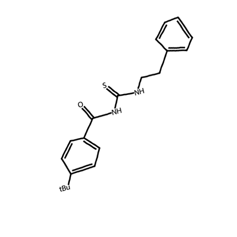 CC(C)(C)c1ccc(C(=O)NC(=S)NCCc2ccccc2)cc1